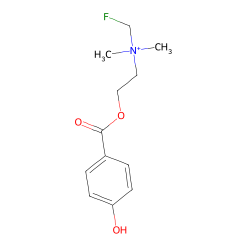 C[N+](C)(CF)CCOC(=O)c1ccc(O)cc1